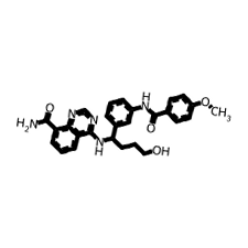 COc1ccc(C(=O)Nc2cccc(C(CCCO)Nc3ncnc4c(C(N)=O)cccc34)c2)cc1